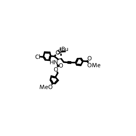 COC(=O)c1ccc(C#CCC[C@@H](NC(=O)OCc2ccc(OC)cc2)C(O[Si](C)(C)C(C)(C)C)c2ccc(Cl)cc2)cc1